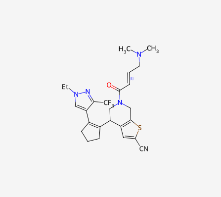 CCn1cc(C2=C(C3CN(C(=O)/C=C/CN(C)C)Cc4sc(C#N)cc43)CCC2)c(C(F)(F)F)n1